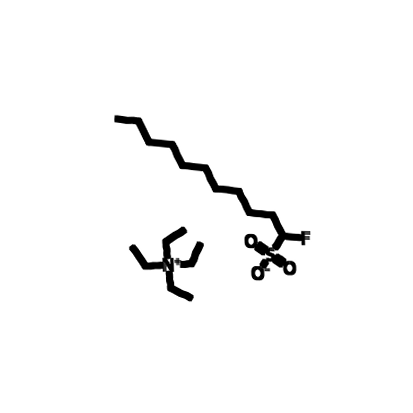 CCCCCCCCCCC(F)S(=O)(=O)[O-].CC[N+](CC)(CC)CC